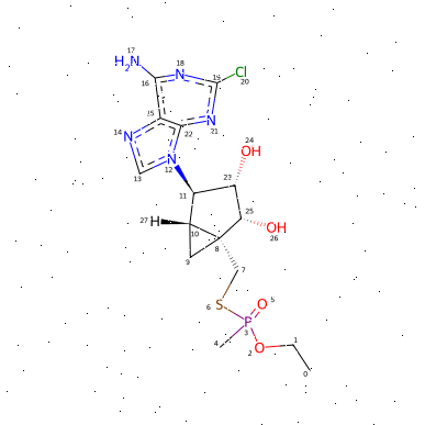 CCOP(C)(=O)SC[C@]12C[C@@H]1[C@@H](n1cnc3c(N)nc(Cl)nc31)[C@H](O)[C@@H]2O